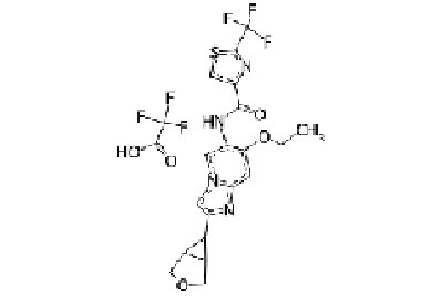 CCOc1cc2nc(C3C4COCC43)cn2cc1NC(=O)c1csc(C(F)(F)F)n1.O=C(O)C(F)(F)F